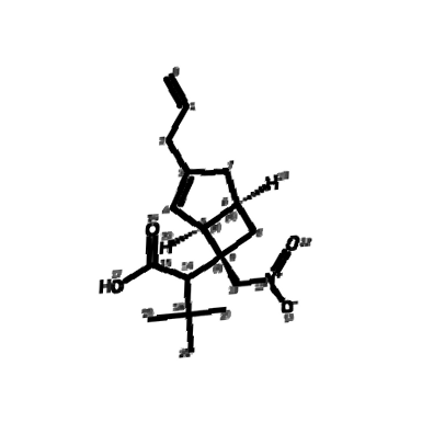 C=CCC1=C[C@H]2[C@@H](C1)C[C@]2(C[N+](=O)[O-])C(C(=O)O)C(C)(C)C